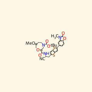 CO[C@@H]1CCN(C(=O)OC(C)(C)C)C[C@@H](C(=O)NC(C#N)Cc2cc3sc(-c4ccc5oc(=O)n(C)c5c4)cc3s2)OC1